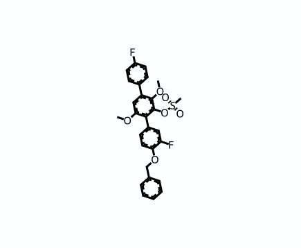 COc1cc(-c2ccc(F)cc2)c(OC)c(OS(C)(=O)=O)c1-c1ccc(OCc2ccccc2)c(F)c1